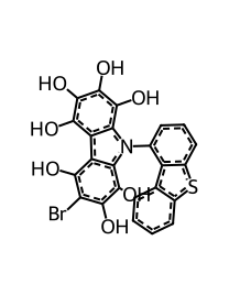 Oc1c(O)c(O)c2c(c1O)c1c(O)c(Br)c(O)c(O)c1n2-c1cccc2sc3ccccc3c12